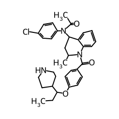 CCC(Oc1ccc(C(=O)N2c3ccccc3C(N(C(C)=O)c3ccc(Cl)cc3)CC2C)cc1)C1CCNCC1